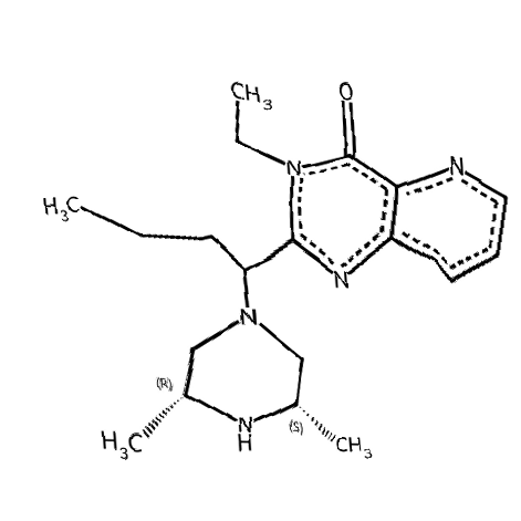 CCCC(c1nc2cccnc2c(=O)n1CC)N1C[C@@H](C)N[C@@H](C)C1